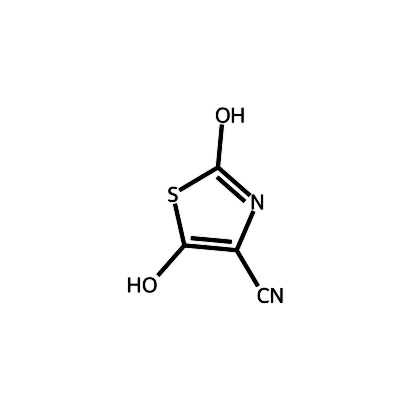 N#Cc1nc(O)sc1O